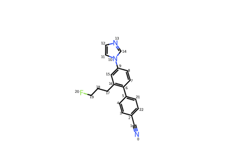 N#Cc1ccc(-c2ccc(-n3ccnc3)cc2CCCF)cc1